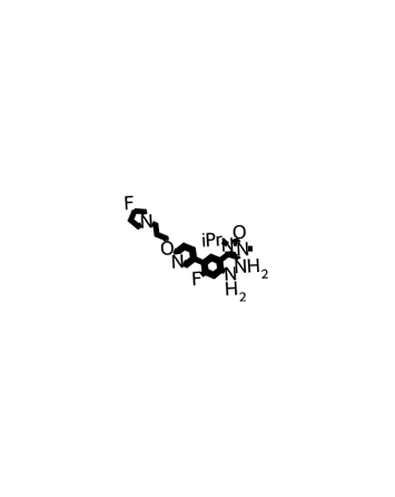 CC(C)n1c(-c2cc(-c3ccc(OCCCN4CCC(F)C4)nc3)c(F)cc2N)c(N)n(C)c1=O